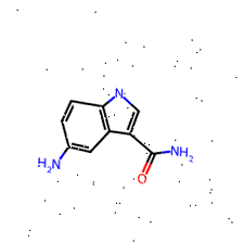 NC(=O)C1=C[N]c2ccc(N)cc21